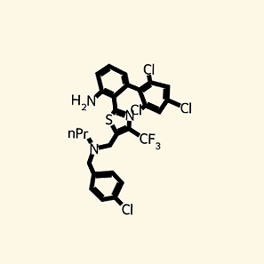 CCCN(Cc1ccc(Cl)cc1)Cc1sc(-c2c(N)cccc2-c2c(Cl)cc(Cl)cc2Cl)nc1C(F)(F)F